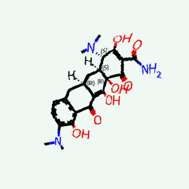 CN(C)c1ccc2c(c1O)C(=O)C1=C(O)[C@@]3(O)C(=O)C(C(N)=O)=C(O)[C@@H](N(C)C)[C@@H]3C[C@@H]1C2